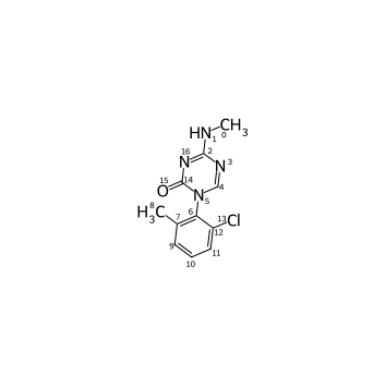 CNc1ncn(-c2c(C)cccc2Cl)c(=O)n1